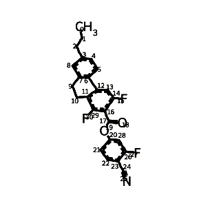 CCCc1ccc2c(c1)CCc1c-2cc(F)c(C(=O)Oc2ccc(C#N)c(F)c2)c1F